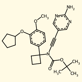 COc1ccc(C2(N(C#Cc3cnc(N)nc3)C(=O)OC(C)(C)C)CCC2)cc1OC1CCCC1